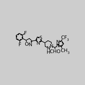 Cc1cc(C(F)(F)F)nn1C(C=O)N1CCC(c2nc(C3=NOC(c4c(F)cccc4F)C3)cs2)CN1